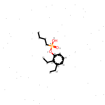 CCCCP(=O)(O)Oc1cccc(CC)c1CC